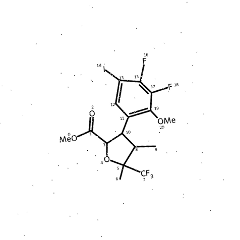 COC(=O)C1OC(C)(C(F)(F)F)C(C)C1c1cc(I)c(F)c(F)c1OC